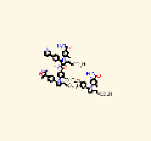 Cc1cc(C(N)=O)ccc1-n1c(CCC(=O)O)ccc1-c1ccc(-c2c(C)noc2C)cc1.Cc1cc(C(N)=O)ccc1-n1c(CCC(=O)O)ccc1-c1ccc(-c2cccnc2)cc1.Cc1cc(C(N)=O)ccc1-n1c(CCC(=O)O)ccc1-c1ccc(OCC(=O)O)cc1